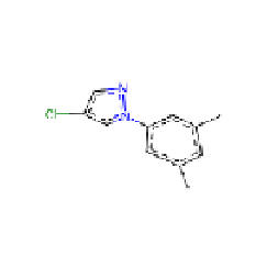 Cc1cc(C)cc(-n2cc(Cl)cn2)c1